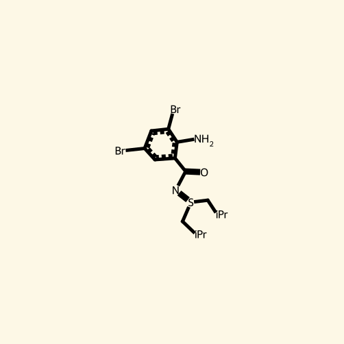 CC(C)CS(CC(C)C)=NC(=O)c1cc(Br)cc(Br)c1N